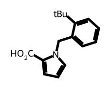 CC(C)(C)c1ccccc1Cn1cccc1C(=O)O